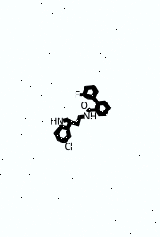 O=C(NCCc1c[nH]c2ccc(Cl)cc12)c1ccccc1-c1cccc(F)c1